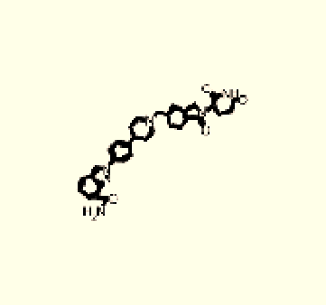 NC(=O)c1cccc2cn(-c3ccc(C4CCN(Cc5ccc6c(c5)CN(C5CCC(=O)NC5=O)C6=O)CC4)cc3)nc12